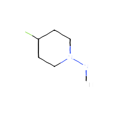 CNN1CCC(F)CC1